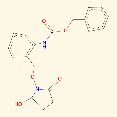 O=C(Nc1ccccc1CON1C(=O)CCC1O)OCc1ccccc1